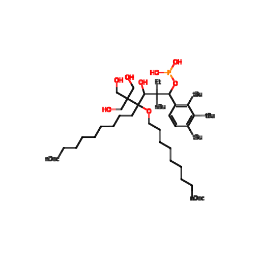 CCCCCCCCCCCCCCCCCCOC(CCCCCCCCCCCCCCCCCC)(C(O)C(CC)(CCCC)C(OP(O)O)c1ccc(C(C)(C)C)c(C(C)(C)C)c1C(C)(C)C)C(CO)(CO)CO